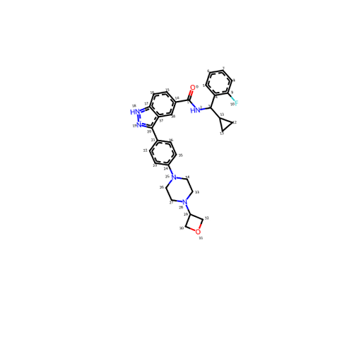 O=C(NC(c1ccccc1F)C1CC1)c1ccc2[nH]nc(-c3ccc(N4CCN(C5COC5)CC4)cc3)c2c1